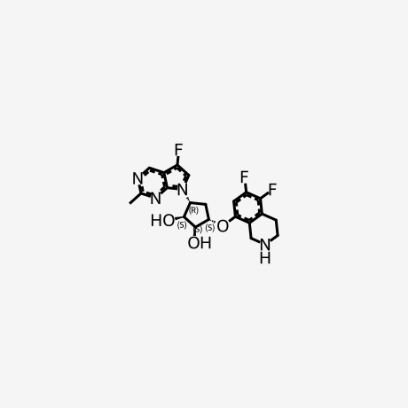 Cc1ncc2c(F)cn([C@@H]3C[C@H](Oc4cc(F)c(F)c5c4CNCC5)[C@@H](O)[C@H]3O)c2n1